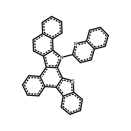 c1ccc2nc(-n3c4c5ccccc5ccc4c4c5ccccc5c5c6ccccc6sc5c43)ccc2c1